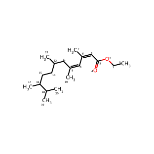 CCOC(=O)C=C(C)C=C(C)CC(C)CCC(C)C(C)C